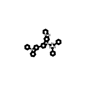 c1ccc(-c2nc(-c3ccccc3)nc(-n3c4ccc(-c5ccc6c(c5)c5ccccc5n6-c5ccccc5)cc4c4cc5c(cc43)nc3ccccn35)n2)cc1